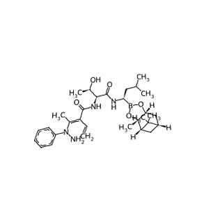 C=C/C(C(=O)N[C@H](C(=O)N[C@@H](CC(C)C)B1O[C@@H]2C[C@@H]3C[C@@H](C3(C)C)[C@]2(C)O1)[C@@H](C)O)=C(/C)N(N)c1ccccc1